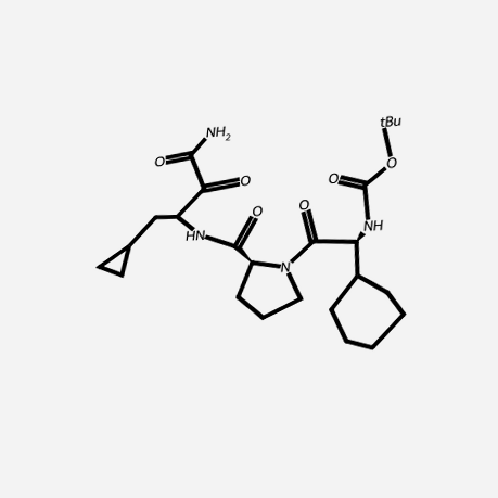 CC(C)(C)OC(=O)N[C@H](C(=O)N1CCC[C@H]1C(=O)NC(CC1CC1)C(=O)C(N)=O)C1CCCCC1